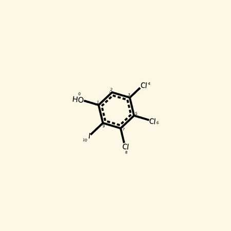 Oc1[c]c(Cl)c(Cl)c(Cl)c1I